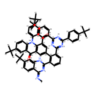 C/N=C(\N=C(/NC)c1cccc(-c2nc(-c3ccc(C(C)(C)C)cc3)nc(-c3ccc(C(C)(C)C)cc3)n2)c1-c1cc2c(=O)c3cc(C(C)(C)C)ccc3n3c4ccc(C(C)(C)C)cc4c(=O)c(c1)c23)c1ccc(C(C)(C)C)cc1